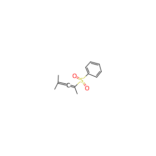 CC(C)=C=C(C)S(=O)(=O)c1ccccc1